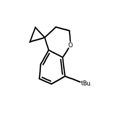 CC(C)(C)c1cccc2c1OCCC21CC1